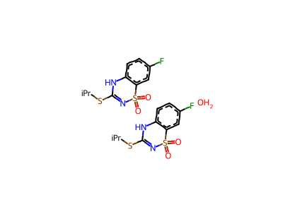 CC(C)SC1=NS(=O)(=O)c2cc(F)ccc2N1.CC(C)SC1=NS(=O)(=O)c2cc(F)ccc2N1.O